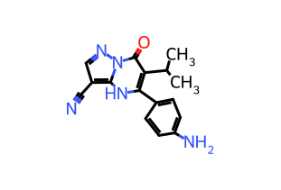 CC(C)c1c(-c2ccc(N)cc2)[nH]c2c(C#N)cnn2c1=O